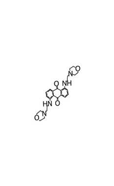 O=C1c2cccc(NCCN3CCOCC3)c2C(=O)c2cccc(NCCN3CCOCC3)c21